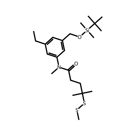 CCc1cc(CO[Si](C)(C)C(C)(C)C)cc(N(C)C(=O)CCC(C)(C)SSC)c1